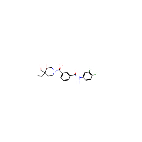 CCC1(CO)CCN(C(=O)c2cccc(C(=O)Nc3ccc(F)c(Cl)c3)c2)CC1